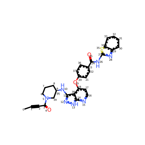 CC#CC(=O)N1CCC[C@@H](Nc2n[nH]c3nccc(Oc4ccc(C(=O)Nc5nc6ccccc6s5)cc4)c23)C1